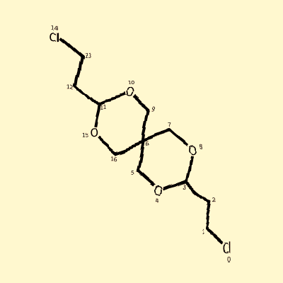 ClCCC1OCC2(CO1)COC(CCCl)OC2